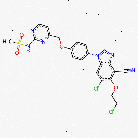 CS(=O)(=O)Nc1nccc(COc2ccc(-n3cnc4c(C#N)c(OCCCl)c(Cl)cc43)cc2)n1